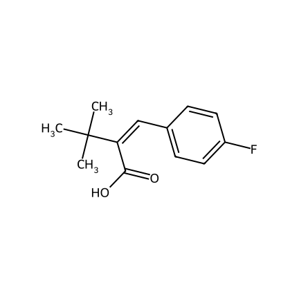 CC(C)(C)/C(=C/c1ccc(F)cc1)C(=O)O